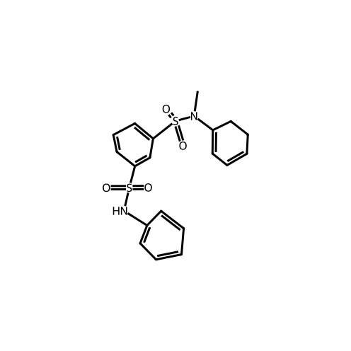 CN(C1=CC=CCC1)S(=O)(=O)c1cccc(S(=O)(=O)Nc2ccccc2)c1